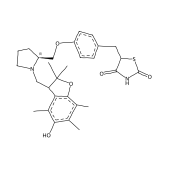 Cc1c(C)c2c(c(C)c1O)C(CN1CCC[C@H]1COc1ccc(CC3SC(=O)NC3=O)cc1)C(C)(C)O2